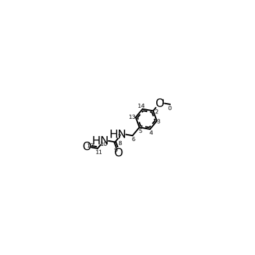 COc1ccc(CNC(=O)NC=O)cc1